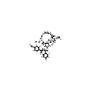 CN1CCCCC=CC2CC2(C(N)=O)NC(=O)C2CC(Oc3nc(-c4ccc(C#N)cc4)nc4ccccc34)CC2C1=O